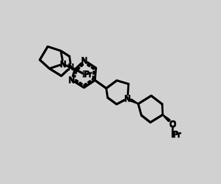 CC(C)O[C@H]1CC[C@@H](N2CCC(c3cnc(N4C5CCC4CN(C(C)C)C5)nc3)CC2)CC1